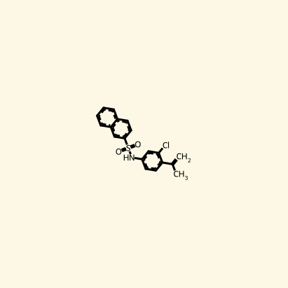 C=C(C)c1ccc(NS(=O)(=O)c2ccc3ccccc3c2)cc1Cl